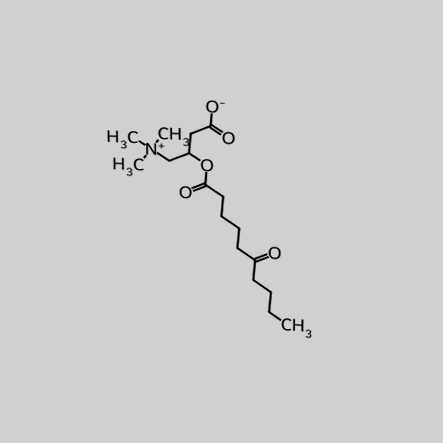 CCCCC(=O)CCCCC(=O)OC(CC(=O)[O-])C[N+](C)(C)C